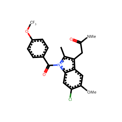 CNC(=O)Cc1c(C)n(C(=O)c2ccc(OC(F)(F)F)cc2)c2cc(Cl)c(OC)cc12